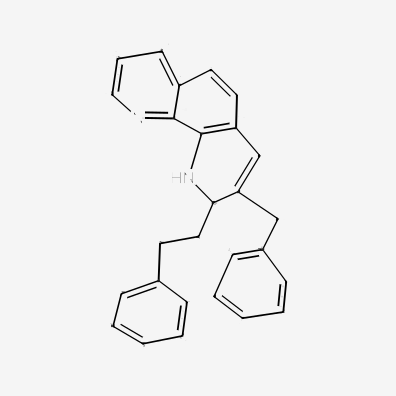 C1=C(Cc2ccccc2)C(CCc2ccccc2)Nc2c1ccc1cccnc21